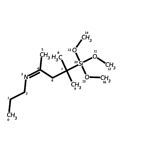 CCCN=C(C)CC(C)(C)[Si](OC)(OC)OC